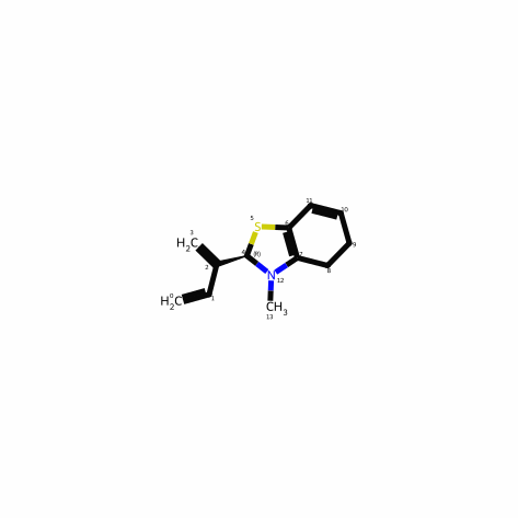 C=CC(=C)[C@H]1SC2=C(CCC=C2)N1C